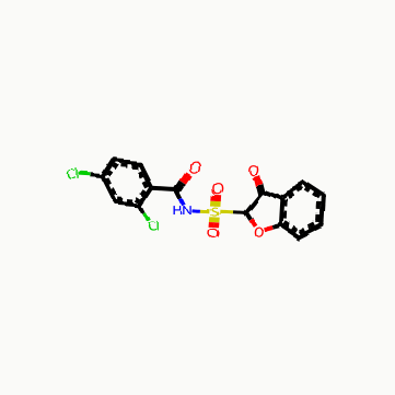 O=C(NS(=O)(=O)C1Oc2ccccc2C1=O)c1ccc(Cl)cc1Cl